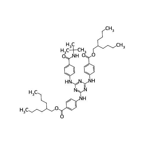 CCCCC(CCCC)COC(=O)c1ccc(Nc2nc(Nc3ccc(C(=O)NC(C)(C)C)cc3)nc(Nc3ccc(C(=O)OCC(CCCC)CCCC)cc3)n2)cc1